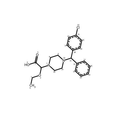 CCOC(C(=O)O)N1CCN(C(c2ccccc2)c2ccc(Cl)cc2)CC1